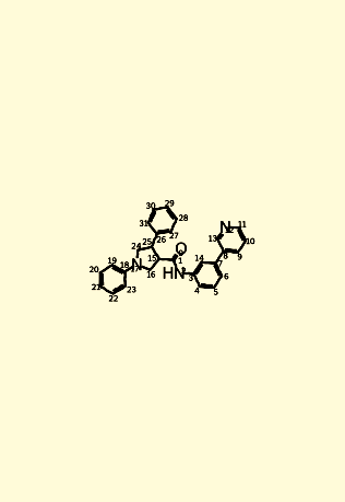 O=C(Nc1cccc(-c2cccnc2)c1)C1CN(c2ccccc2)CC1c1ccccc1